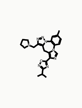 Cc1ccc2c(c1)-n1nnc(CN3CCCC3)c1Cc1c(-c3nc(C(C)C)no3)ncn1-2